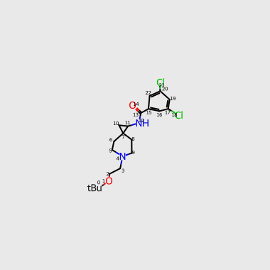 CC(C)(C)OCCN1CCC2(CC1)CC2NC(=O)c1cc(Cl)cc(Cl)c1